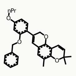 CCCOc1ccc(C2=Cc3cc(C)c4c(c3OC2)C=CC(C)(C)O4)c(OCc2ccccc2)c1